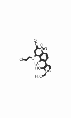 CCn1ncc(-c2ccc3c(c2C)C(OCCCl)CC(=C=O)S3(=O)=O)c1O